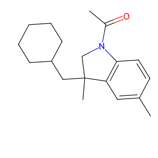 CC(=O)N1CC(C)(CC2CCCCC2)c2cc(C)ccc21